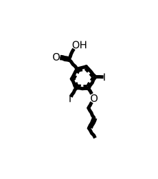 CC=CCOc1c(I)cc(C(=O)O)cc1I